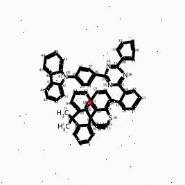 CC1(C)c2ccccc2C2(c3ccccc3Sc3c(-c4ccccc4-c4nc(-c5ccccc5)nc(-c5ccc(-n6c7ccccc7c7ccccc76)cc5)n4)cccc32)c2ccccc21